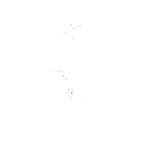 CN1CCN(C(=O)CCCCOC(N)=O)CC1